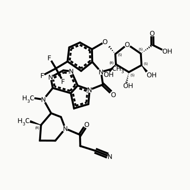 C[C@@H]1CCN(C(=O)CC#N)CC1N(C)c1ncnc2c1ccn2C(=O)N(C)c1cc(C(F)(F)F)ccc1O[C@@H]1O[C@H](C(=O)O)[C@@H](O)[C@H](O)[C@H]1O